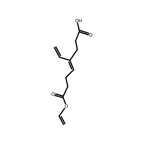 C=COC(=O)CCC=C(C=C)CCC(=O)O